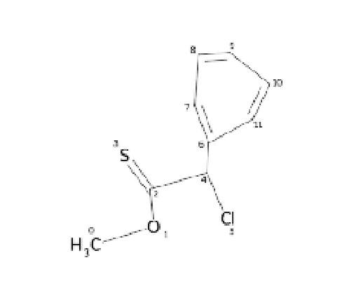 COC(=S)C(Cl)c1ccccc1